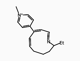 CCC1CCC\C=C/C(c2cc[n+](C)cc2)=C\C=N\1